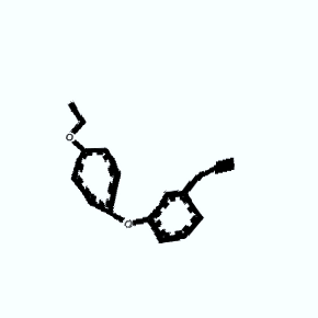 C#CCc1cccc(Oc2ccc(OCC)cc2)c1